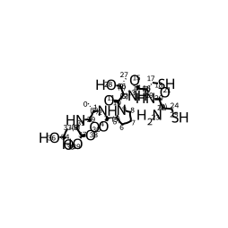 C[C@H](NC(=O)[C@@H]1CCCN1C(=O)[C@@H](NC(=O)[C@H](CS)NC(=O)[C@@H](N)CS)[C@@H](C)O)C(=O)N[C@@H](CC(=O)O)C(=O)O